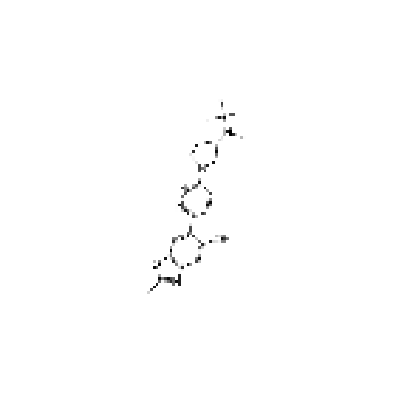 Cc1nc2cc(O)c(-c3ccc(N4CC[C@H](N(C)C(C)(C)C)C4)nn3)cc2o1